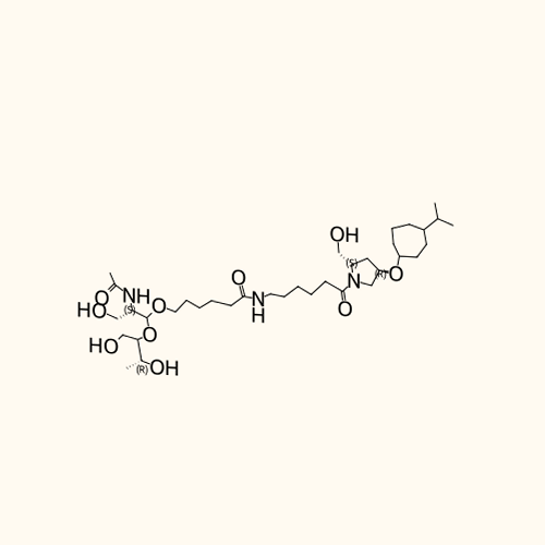 CC(=O)N[C@@H](CO)C(OCCCCCC(=O)NCCCCCC(=O)N1C[C@H](OC2CCCC(C(C)C)CC2)C[C@H]1CO)OC(CO)[C@@H](C)O